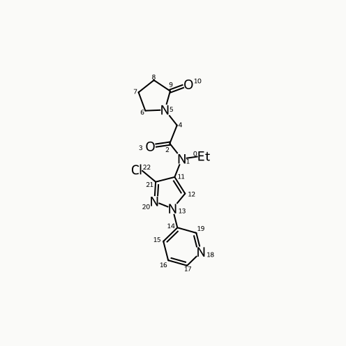 CCN(C(=O)CN1CCCC1=O)c1cn(-c2cccnc2)nc1Cl